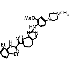 CCc1cccc(CC)c1NC(=O)c1noc2c1CCCc1cnc(Nc3ccc(N4CCN(C)CC4)cc3OC)nc1-2